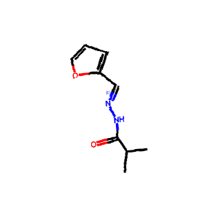 CC(C)C(=O)N/N=C/c1ccco1